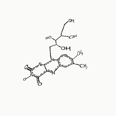 Cc1cc2nc3c(=O)n(Cl)c(=O)nc-3n(CC(O)C(O)C(O)CO)c2cc1C